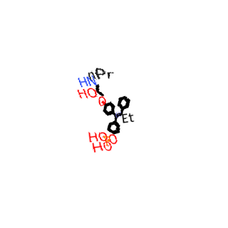 CCCNCC(O)COc1ccc(/C(=C(/CC)c2ccccc2)c2ccc(OP(O)O)cc2)cc1